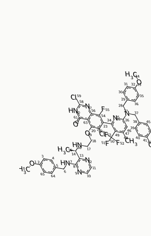 COc1ccc(CNc2nccnc2[C@@H](C)NCCOc2c(Cl)c(-c3nc(N(Cc4ccc(OC)cc4)Cc4ccc(OC)cc4)cc(C)c3C(F)(F)F)c(F)c3nc(Cl)[nH]c(=O)c23)cc1